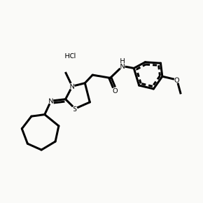 COc1ccc(NC(=O)CC2CSC(=NC3CCCCCC3)N2C)cc1.Cl